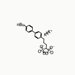 CCCCc1ccc(-c2ccc(CCCC(P(=O)([O-])[O-])S(=O)(=O)[O-])cc2)cc1.[K+].[K+].[K+]